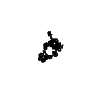 C=NC1NN2CCC[C@H]1C(=O)OCC(C)(C)Cc1c(-c3cccnc3C(C)(OC)C3CC3)n(CC)c3ccc(cc13)-c1cccc(n1)CC(CC)(NC(=O)C(C(C)C)N(C)C(=O)N1CCCN(C(=O)C#CC(C)(C)N(C)C)C1)C2=O